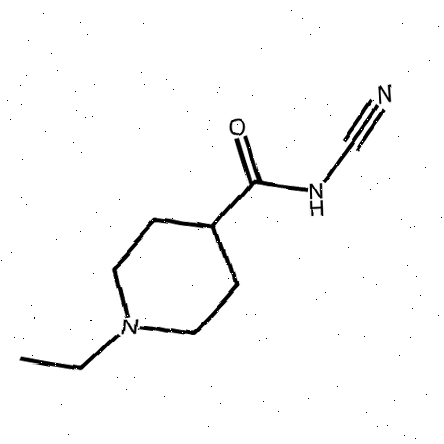 CCN1CCC(C(=O)NC#N)CC1